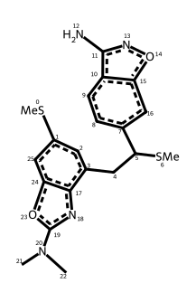 CSc1cc(CC(SC)c2ccc3c(N)noc3c2)c2nc(N(C)C)oc2c1